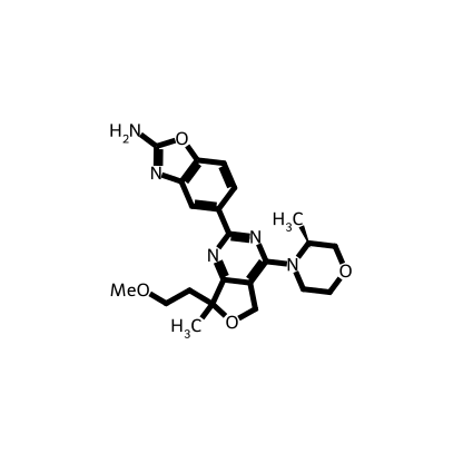 COCCC1(C)OCc2c(N3CCOC[C@@H]3C)nc(-c3ccc4oc(N)nc4c3)nc21